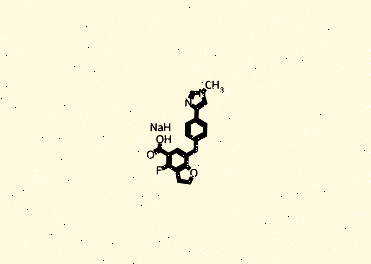 Cn1cnc(-c2ccc(Cc3cc(C(=O)O)c(F)c4c3OCC4)cc2)c1.[NaH]